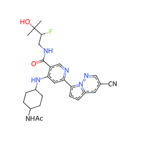 CC(=O)NC1CCC(Nc2cc(-c3ccc4cc(C#N)cnn34)ncc2C(=O)NCC(F)C(C)(C)O)CC1